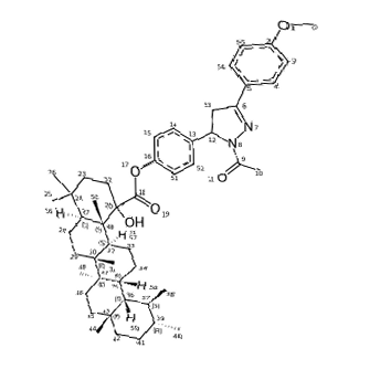 COc1ccc(C2=NN(C(C)=O)C(c3ccc(OC(=O)C4(O)CCC(C)(C)[C@@H]5CC[C@]6(C)[C@H](CC[C@@H]7[C@@H]8[C@@H](C)[C@H](C)CC[C@]8(C)CC[C@]76C)[C@]54C)cc3)C2)cc1